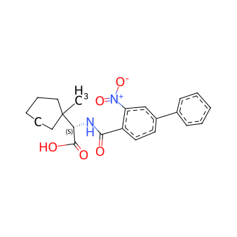 CC1([C@H](NC(=O)c2ccc(-c3ccccc3)cc2[N+](=O)[O-])C(=O)O)CCCCC1